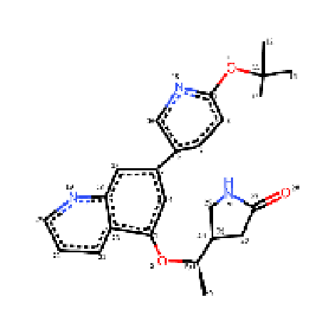 C[C@@H](Oc1cc(-c2ccc(OC(C)(C)C)nc2)cc2ncccc12)[C@H]1CNC(=O)C1